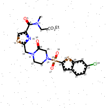 CCOC(=O)CN(C)C(=O)c1csc(CN2CCN(S(=O)(=O)c3cc4ccc(Cl)cc4s3)CC2=O)n1